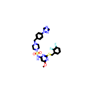 COc1cc(NS(=O)(=O)N2CCN(Cc3ccc(-n4cncn4)cc3)CC2)nc(SCc2cccc(F)c2F)n1